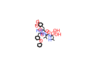 COc1ccc(C[C@H](NC(=O)Cc2cccc(Oc3ccccc3)c2)C(=O)N[C@H](C(=O)N[C@@H](CC(C)C)OB(O)O)C(C)C)c(OC)c1OC